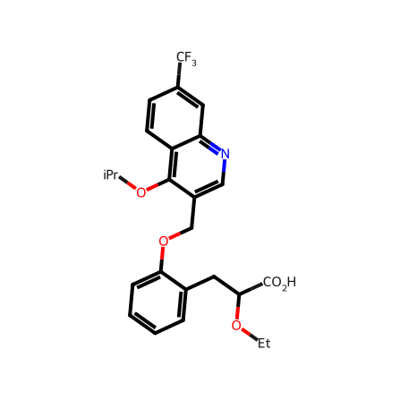 CCOC(Cc1ccccc1OCc1cnc2cc(C(F)(F)F)ccc2c1OC(C)C)C(=O)O